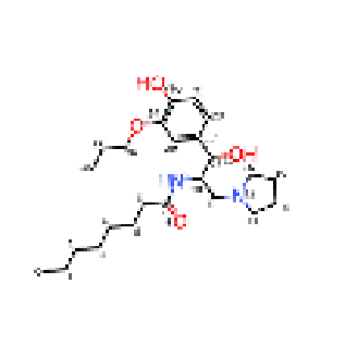 CCCCCCCC(=O)N[C@H](CN1CCCC1)[C@H](O)c1ccc(O)c(OCCC)c1